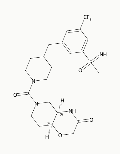 CS(=N)(=O)c1cc(CC2CCN(C(=O)N3CC[C@@H]4OCC(=O)N[C@@H]4C3)CC2)cc(C(F)(F)F)c1